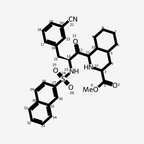 COC(=O)C1CC2CCCCC2C(C(=O)[C@H](Cc2cccc(C#N)c2)NS(=O)(=O)c2ccc3ccccc3c2)N1